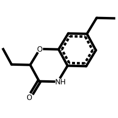 CCc1ccc2c(c1)OC(CC)C(=O)N2